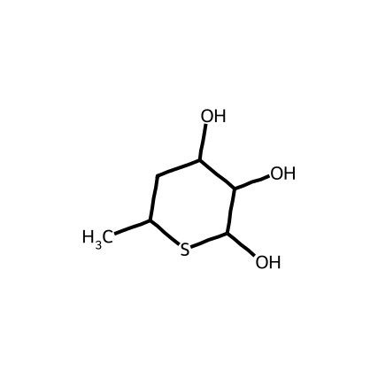 CC1CC(O)C(O)C(O)S1